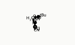 C[C@@H](Cn1ccc(-c2ccc(C#N)c(Cl)c2)n1)NC(=O)c1cc(C(C)(C)C)on1